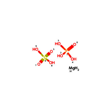 O=P(O)(O)O.O=S(=O)(O)O.[MgH2]